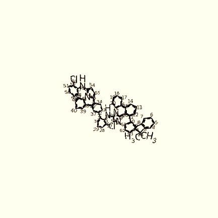 CC1(C)c2ccccc2-c2c(-c3cccc4c5ccccc5n5c(Nc6c(Cl)cccc6-c6ccc7c(c6)c6ccccc6n6c(Nc8ccccc8Cl)ccc76)cnc5c34)cccc21